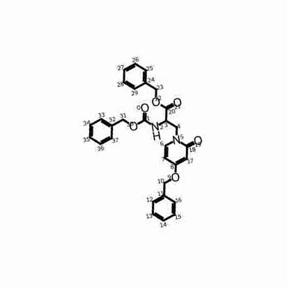 O=C(NC(Cn1ccc(OCc2ccccc2)cc1=O)C(=O)OCc1ccccc1)OCc1ccccc1